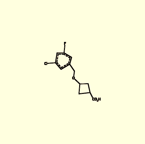 O=C(O)C1CC(OCc2cc(F)cc(Cl)c2)C1